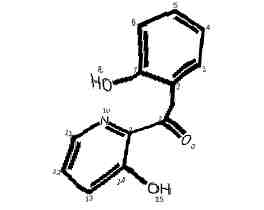 O=C(c1ccccc1O)c1ncccc1O